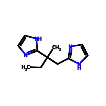 CCC(C)(Cc1ncc[nH]1)c1ncc[nH]1